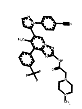 Cc1c(-c2ccnn2-c2ccc(C#N)cc2)cn2nc(NC(=O)CN3CCN(C)CC3)nc2c1-c1cccc(C(F)(F)F)c1